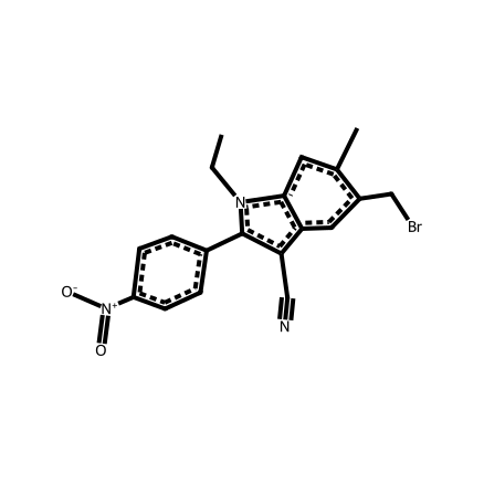 CCn1c(-c2ccc([N+](=O)[O-])cc2)c(C#N)c2cc(CBr)c(C)cc21